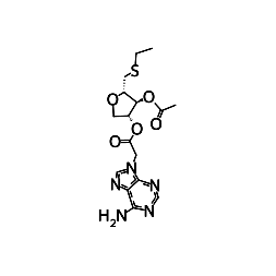 CCSC[C@H]1OC[C@@H](OC(=O)Cn2cnc3c(N)ncnc32)[C@@H]1OC(C)=O